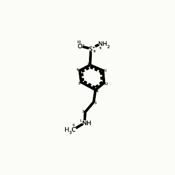 CNCCc1ccc([S+](N)[O-])cc1